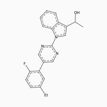 CCc1ccc(F)c(-c2cnc(-n3cc(C(C)O)c4ccccc43)nc2)c1